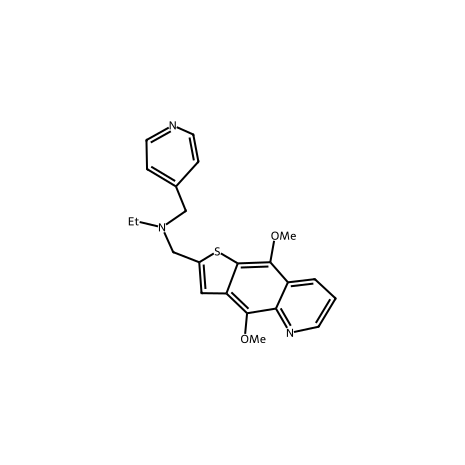 CCN(Cc1ccncc1)Cc1cc2c(OC)c3ncccc3c(OC)c2s1